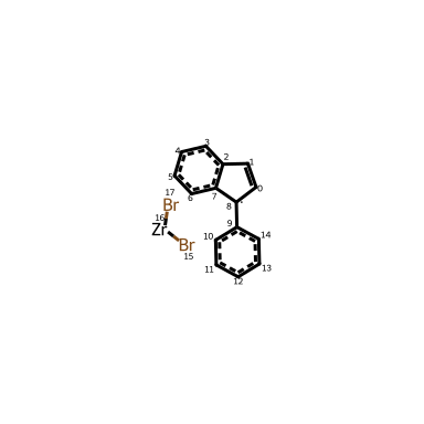 C1=Cc2ccccc2[C]1c1ccccc1.[Br][Zr][Br]